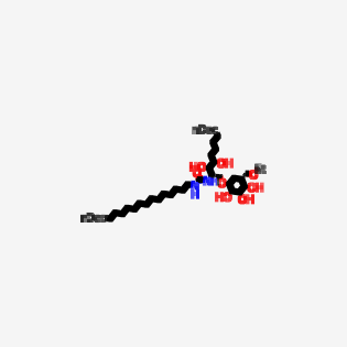 CCCCCCCCCCCCCCCCCCCCCCCCNC(=O)N[C@@H](CO[C@H]1C[C@H](COCC)[C@H](O)[C@H](O)[C@H]1O)[C@H](O)[C@H](O)CCCCCCCCCCCCCC